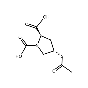 CC(=O)S[C@H]1C[C@H](C(=O)O)N(C(=O)O)C1